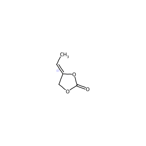 C/C=C1/COC(=O)O1